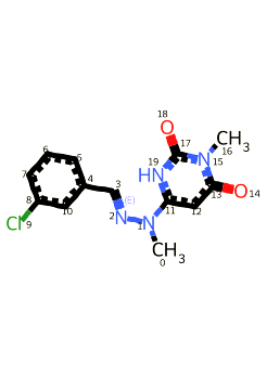 CN(/N=C/c1cccc(Cl)c1)c1cc(=O)n(C)c(=O)[nH]1